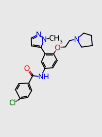 Cn1nccc1-c1cc(NC(=O)c2ccc(Cl)cc2)ccc1OCCN1CCCC1